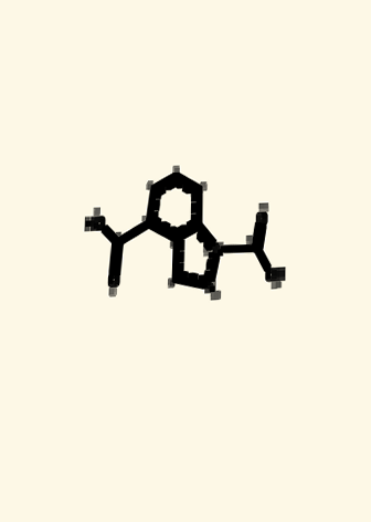 O=C(O)c1cccc2c1cnn2C(=O)O